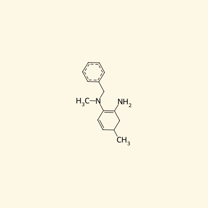 CC1C=CC(N(C)Cc2ccccc2)=C(N)C1